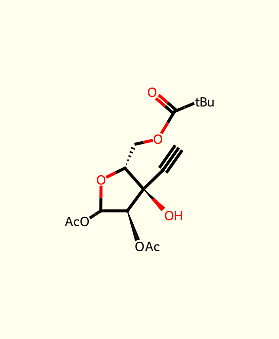 C#C[C@@]1(O)[C@@H](COC(=O)C(C)(C)C)OC(OC(C)=O)[C@@H]1OC(C)=O